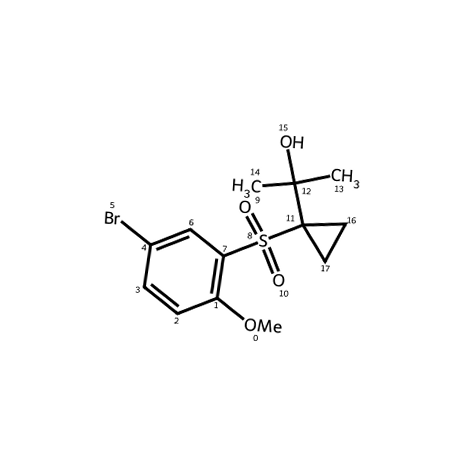 COc1ccc(Br)cc1S(=O)(=O)C1(C(C)(C)O)CC1